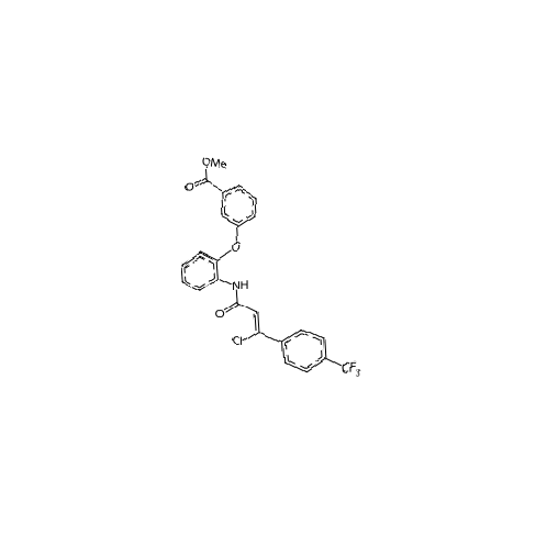 COC(=O)c1cccc(Oc2ccccc2NC(=O)/C=C(\Cl)c2ccc(C(F)(F)F)cc2)c1